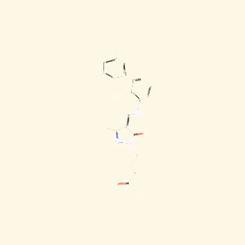 CC1=NN(CCCC(=O)O)C(=O)/C1=C\Nc1cccc(-c2cc(C)cc(C)c2)c1O